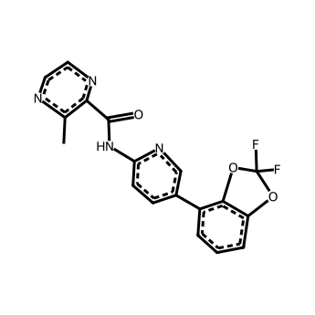 Cc1nccnc1C(=O)Nc1ccc(-c2cccc3c2OC(F)(F)O3)cn1